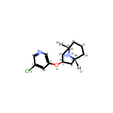 Clc1cncc(O[C@@H]2C[C@H]3CCC[C@@H](C2)N3)c1